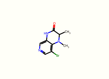 CC1C(=O)Nc2cncc(Br)c2N1C